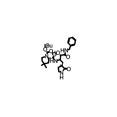 CC1(C)CCN(C(=O)OC(C)(C)C)[C@H](C(=O)NC(C[C@@H]2CCNC2=O)C(O)C(=O)NCc2ccccc2)C1